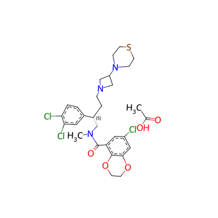 CC(=O)O.CN(C[C@@H](CCN1CC(N2CCSCC2)C1)c1ccc(Cl)c(Cl)c1)C(=O)c1cc(Cl)cc2c1OCCO2